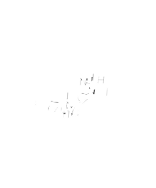 CN=C(C)N(C)c1ccc(C(=O)NOc2ccc(Cl)cc2)cc1.Cl